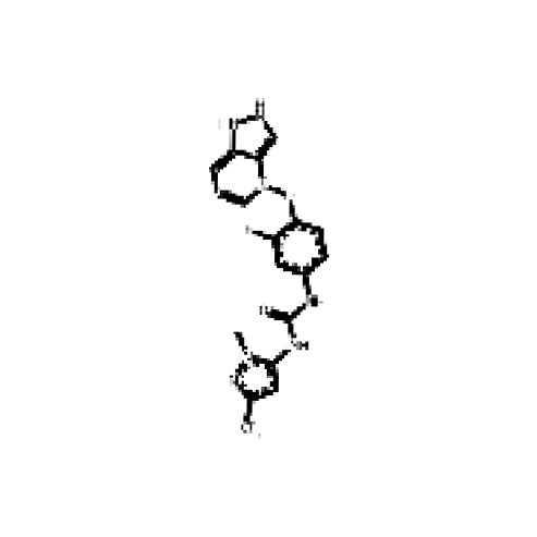 Cn1nc(C(F)(F)F)cc1NC(=O)Nc1ccc(ON2C=NC=C3NNC=C32)c(F)c1